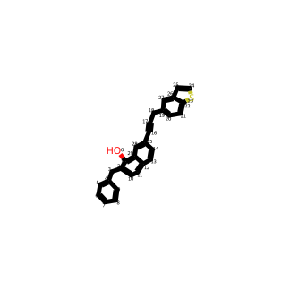 Oc1c(Cc2ccccc2)ccc2ccc(C#CCc3ccc4sccc4c3)cc12